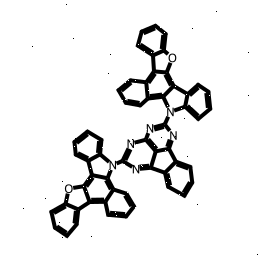 c1ccc2c(c1)-c1nc(-n3c4ccccc4c4c5oc6ccccc6c5c5ccccc5c43)nc3nc(-n4c5ccccc5c5c6oc7ccccc7c6c6ccccc6c54)nc-2c13